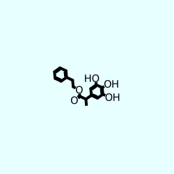 CC(C(=O)OCCc1ccccc1)c1cc(O)c(O)c(O)c1